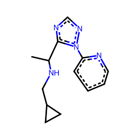 CC(NCC1CC1)c1ncnn1-c1ccccn1